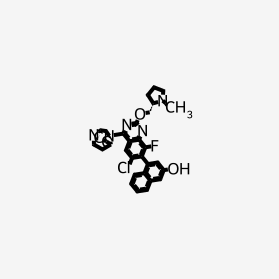 CN1CCC[C@H]1COc1nc(N2CCN3CCC2CC3)c2cc(Cl)c(-c3cc(O)cc4ccccc34)c(F)c2n1